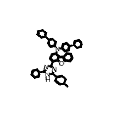 CC1C=CC(C2N=C(c3ccc(N(c4ccc(-c5ccccc5)cc4)c4ccc(-c5ccccc5)cc4)c4c3oc3ccccc34)N=C(c3ccccc3)N2)=CC1